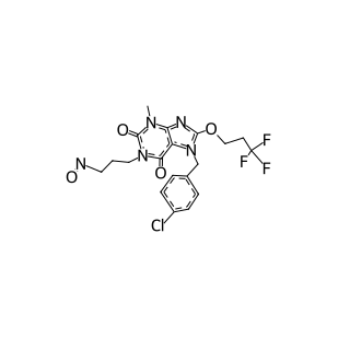 Cn1c(=O)n(CCCN=O)c(=O)c2c1nc(OCCC(F)(F)F)n2Cc1ccc(Cl)cc1